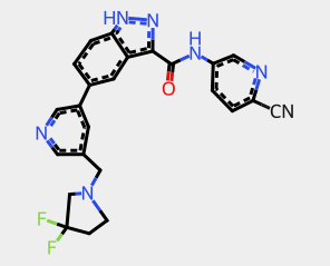 N#Cc1ccc(NC(=O)c2n[nH]c3ccc(-c4cncc(CN5CCC(F)(F)C5)c4)cc23)cn1